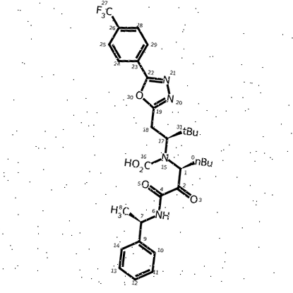 CCCC[C@@H](C(=O)C(=O)N[C@H](C)c1ccccc1)N(C(=O)O)[C@@H](Cc1nnc(-c2ccc(C(F)(F)F)cc2)o1)C(C)(C)C